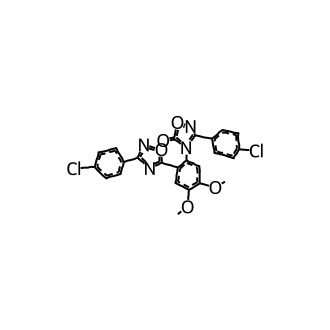 COc1cc(-c2nc(-c3ccc(Cl)cc3)no2)c(-n2c(-c3ccc(Cl)cc3)noc2=O)cc1OC